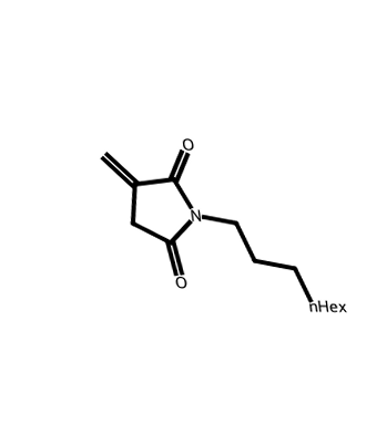 C=C1CC(=O)N(CCCCCCCCC)C1=O